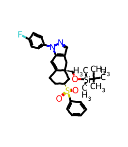 CC(C)(C)[Si](C)(C)OC[C@]12Cc3cnn(-c4ccc(F)cc4)c3C=C1CC[C@@H](S(=O)(=O)c1ccccc1)C2